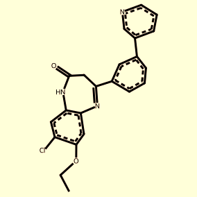 CCOc1cc2c(cc1Cl)NC(=O)CC(c1cccc(-c3cccnc3)c1)=N2